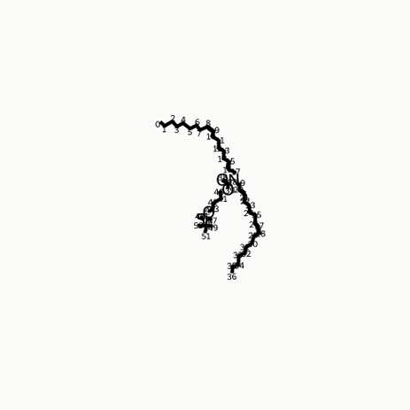 CCCCCCCC/C=C\CCCCC/C=C/CN(C/C=C/CCCCC/C=C\CCCCCCCC)C(=O)OCCCCO[Si](C)(C)C(C)(C)C